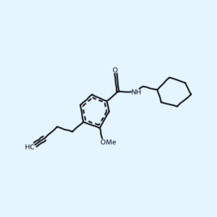 C#CCCc1ccc(C(=O)NCC2CCCCC2)cc1OC